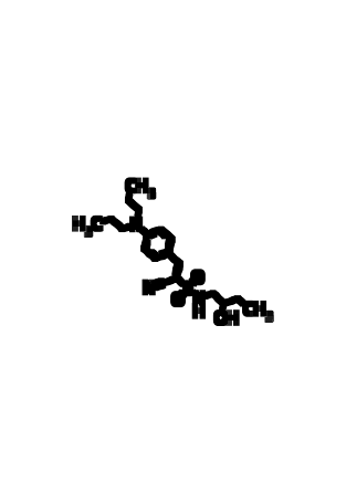 CCCN(CCC)c1ccc(/C=C(\C#N)S(=O)(=O)NCC(O)CC)cc1